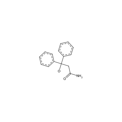 NC(=O)CC([O])(c1ccccc1)c1ccccc1